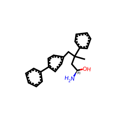 CC(Cc1ccc(-c2ccccc2)cc1)(C[C@H](N)O)c1ccccc1